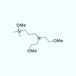 COCCN(CCC[Si](C)(C)OC)CCOC